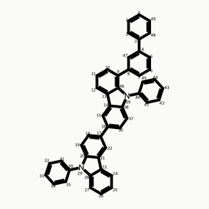 c1ccc(-c2cccc(-c3cccc4c5cc(-c6ccc7c(c6)c6ccccc6n7-c6ccccc6)ccc5n(-c5ccccc5)c34)c2)cc1